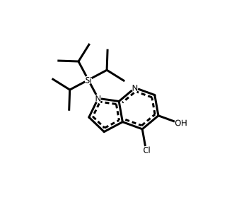 CC(C)[Si](C(C)C)(C(C)C)n1ccc2c(Cl)c(O)cnc21